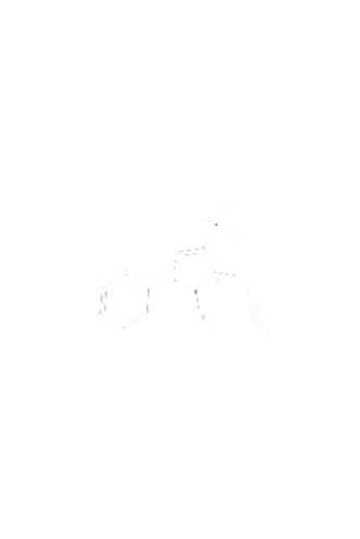 CC(C)(C)c1nn(-c2ccccc2)c(N)c1SC#N